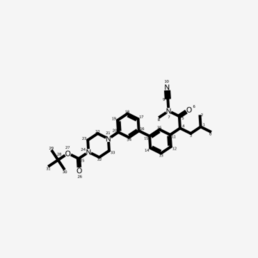 CC(C)CC(C(=O)N(C)C#N)c1cccc(-c2cccc(N3CCN(C(=O)OC(C)(C)C)CC3)c2)c1